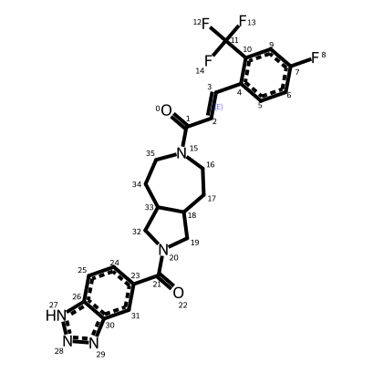 O=C(/C=C/c1ccc(F)cc1C(F)(F)F)N1CCC2CN(C(=O)c3ccc4[nH]nnc4c3)CC2CC1